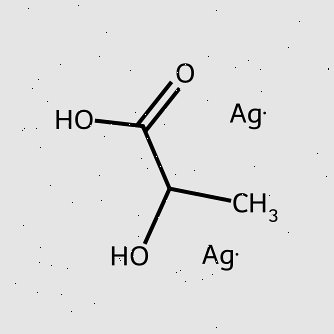 CC(O)C(=O)O.[Ag].[Ag]